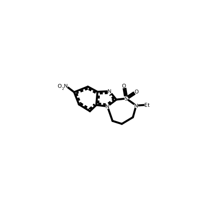 CCN1CCCn2c(nc3cc([N+](=O)[O-])ccc32)S1(=O)=O